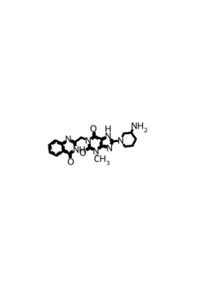 Cn1c(=O)n(Cc2nc3ccccc3c(=O)[nH]2)c(=O)c2[nH]c(N3CCCC(N)C3)nc21